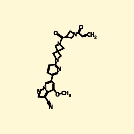 C=CC(=O)N1CC(C(=O)N2CC3(C2)CN(c2ccc(-c4cc(OC)c5c(C#N)cnn5c4)cn2)C3)C1